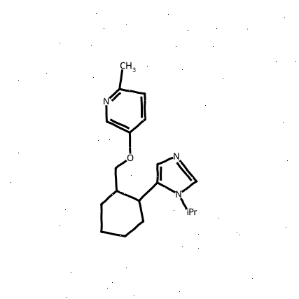 Cc1ccc(OCC2CCCCC2c2cncn2C(C)C)cn1